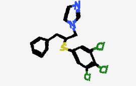 Clc1cc(SC(Cc2ccccc2)Cn2ccnc2)cc(Cl)c1Cl